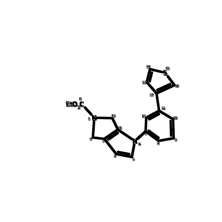 CCOC(=O)N1Cc2ccn(-c3cccc(-c4ccsc4)c3)c2C1